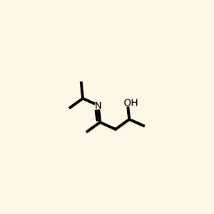 CC(CC(C)O)=NC(C)C